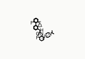 COc1c(CC(=O)N[C@@H]2[C@@H](N3CCN(C(C)C)CC3)CCCC2(F)F)cccc1-c1c(F)cccc1F